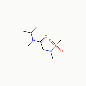 CC(C)N(C)C(=O)CN(C)S(C)(=O)=O